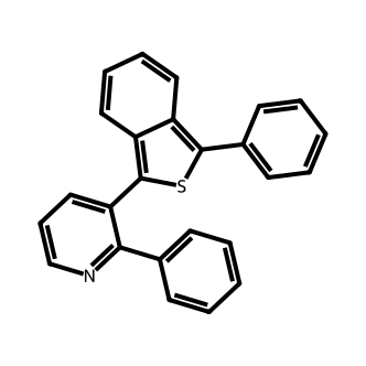 c1ccc(-c2ncccc2-c2sc(-c3ccccc3)c3ccccc23)cc1